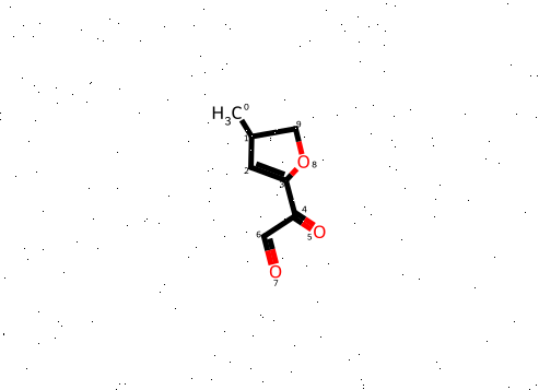 CC1C=C(C(=O)C=O)OC1